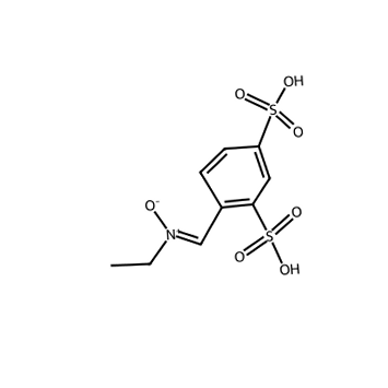 CC[N+]([O-])=Cc1ccc(S(=O)(=O)O)cc1S(=O)(=O)O